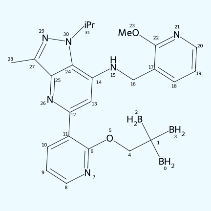 BC(B)(B)COc1ncccc1-c1cc(NCc2cccnc2OC)c2c(n1)c(C)nn2C(C)C